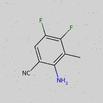 Cc1c(N)c(C#N)cc(F)c1F